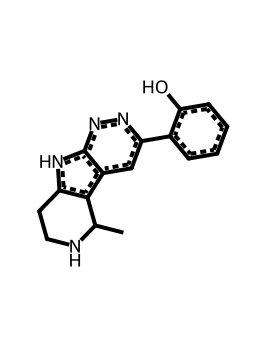 CC1NCCc2[nH]c3nnc(-c4ccccc4O)cc3c21